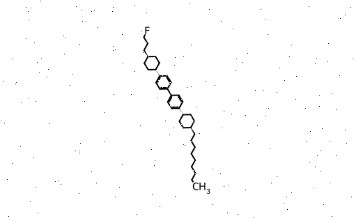 CCCCCCCCC[C@H]1CC[C@H](c2ccc(-c3ccc([C@H]4CC[C@H](CCCF)CC4)cc3)cc2)CC1